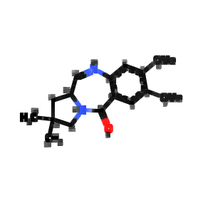 COc1cc2c(cc1OC)C(=O)N1CC(C)(C)CC1C=N2